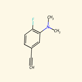 C#Cc1ccc(F)c(N(C)C)c1